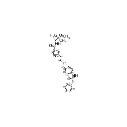 COC(C)(C)CNC(=O)c1nnc(CCCCc2cc3cc(Cc4ccccc4)[nH]c3nn2)s1